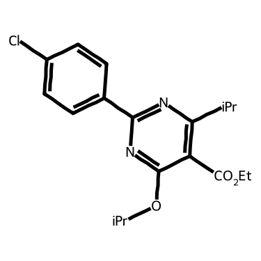 CCOC(=O)c1c(OC(C)C)nc(-c2ccc(Cl)cc2)nc1C(C)C